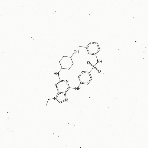 CCn1cnc2c(Nc3ccc(S(=O)(=O)Nc4cccc(C)c4)cc3)nc(NC3CCC(O)CC3)nc21